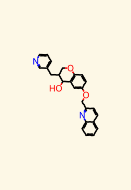 OC1c2cc(OCc3ccc4ccccc4n3)ccc2OCC1Cc1cccnc1